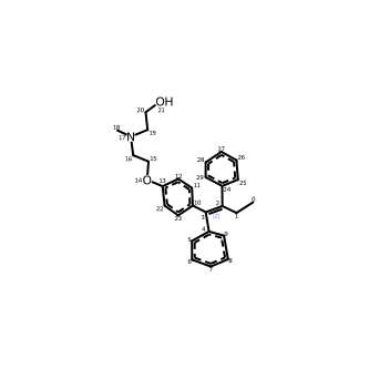 CC/C(=C(\c1ccccc1)c1ccc(OCCN(C)CCO)cc1)c1ccccc1